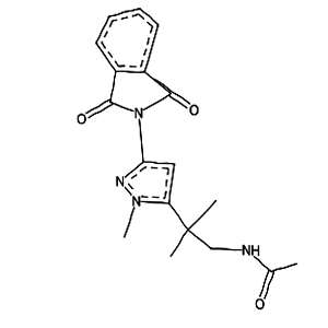 CC(=O)NCC(C)(C)c1cc(N2C(=O)c3ccccc3C2=O)nn1C